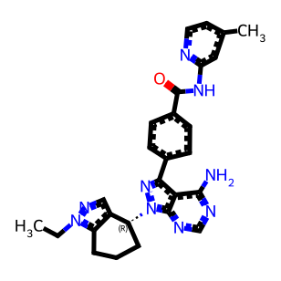 CCn1ncc2c1CCC[C@H]2n1nc(-c2ccc(C(=O)Nc3cc(C)ccn3)cc2)c2c(N)ncnc21